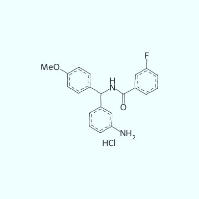 COc1ccc(C(NC(=O)c2cccc(F)c2)c2cccc(N)c2)cc1.Cl